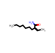 CC=C(CCCCCCC)C(N)=O